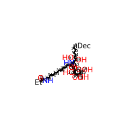 CCCCCCCCCCCCCC[C@@H](O)[C@@H](O)[C@H](CO[C@H]1O[C@H](CO)[C@H](O)[C@H](O)[C@H]1O)NC(=O)CCCCCCCCCCCNC(=O)CC